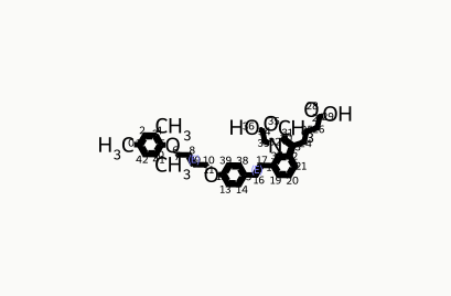 Cc1cc(C)c(OC/C=C/COc2ccc(/C=C/c3cccc4c(CCCC(=O)O)c(C)n(CC(=O)O)c34)cc2)c(C)c1